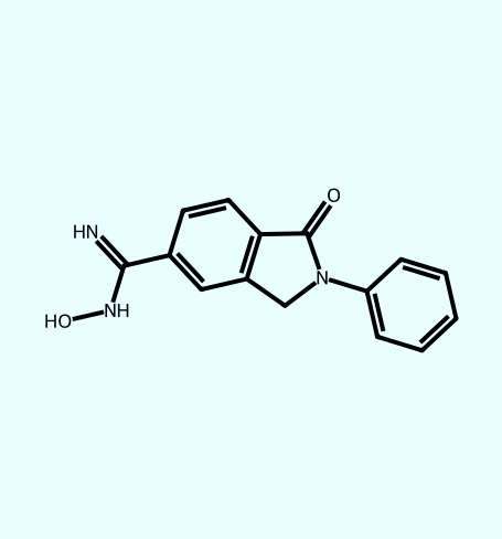 N=C(NO)c1ccc2c(c1)CN(c1ccccc1)C2=O